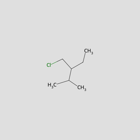 CCC(CCl)C(C)C